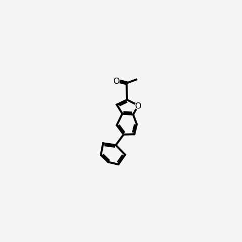 CC(=O)c1cc2cc(-c3ccccc3)ccc2o1